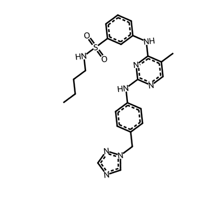 CCCCNS(=O)(=O)c1cccc(Nc2nc(Nc3ccc(Cn4cncn4)cc3)ncc2C)c1